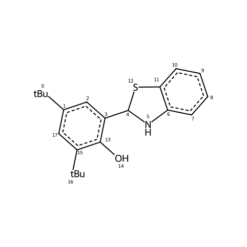 CC(C)(C)c1cc(C2Nc3ccccc3S2)c(O)c(C(C)(C)C)c1